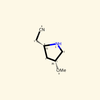 CO[C@H]1CN[C@@H](CC#N)C1